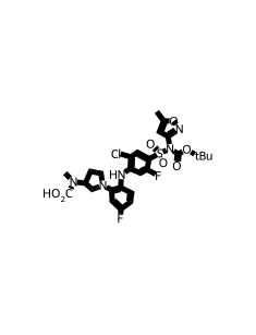 Cc1cc(N(C(=O)OC(C)(C)C)S(=O)(=O)c2cc(Cl)c(Nc3ccc(F)cc3N3CCC(N(C)C(=O)O)C3)cc2F)no1